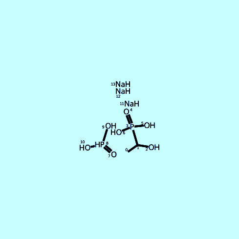 CC(O)P(=O)(O)O.O=[PH](O)O.[NaH].[NaH].[NaH]